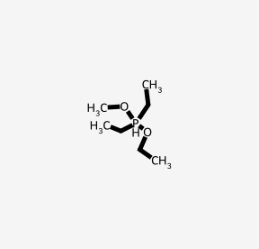 CCO[PH](CC)(CC)OC